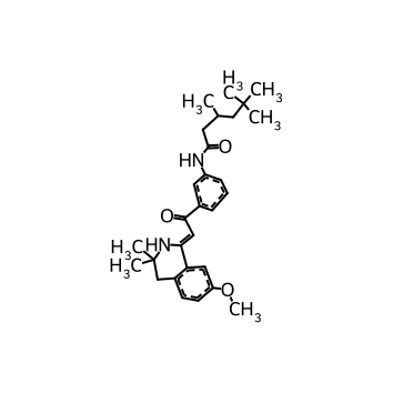 COc1ccc2c(c1)C(=CC(=O)c1cccc(NC(=O)CC(C)CC(C)(C)C)c1)NC(C)(C)C2